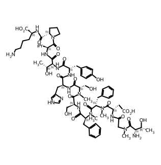 CC(C)[C@H](NC(=O)[C@@H](NC(=O)[C@H](Cc1ccc(O)cc1)NC(=O)[C@H](Cc1c[nH]cn1)NC(=O)[C@H](CO)N(C)C(=O)[C@H](CO)NC(=O)[C@H](Cc1ccccc1)N(C)C(=O)[C@H](Cc1ccccc1)N(C)C(=O)[C@H](CC(=O)O)NC(=O)CN(C)C(=O)[C@@H](N)[C@@H](C)O)[C@@H](C)O)C(=O)N1CCC[C@H]1C(=O)N[C@@H](CCCCN)C(=O)O